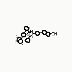 C[C@@H]1C[C@@H]2C[C@H](C)CC(c3ccc(-c4ccccc4-c4nc(-c5ccccc5)nc(-c5ccc(-c6ccc7cc(C#N)ccc7c6)cc5)n4)cc3)(C1)C2